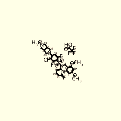 COc1ccc(CN(c2cccc(F)n2)S(=O)(=O)c2c(F)cc(N3CC4CN(C)CC4C3)c(Cl)c2F)c(OC)c1.O=C(O)C(F)(F)F